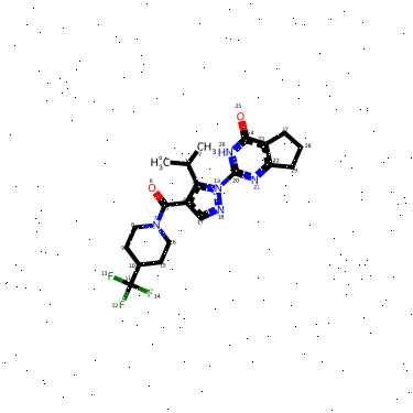 CC(C)c1c(C(=O)N2CCC(C(F)(F)F)CC2)cnn1-c1nc2c(c(=O)[nH]1)CCC2